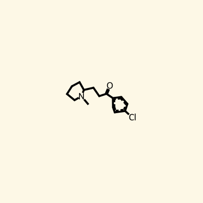 CN1CCCCC1CCC(=O)c1ccc(Cl)cc1